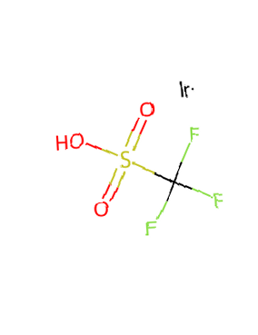 O=S(=O)(O)C(F)(F)F.[Ir]